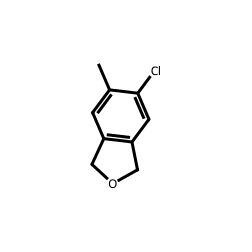 Cc1cc2c(cc1Cl)COC2